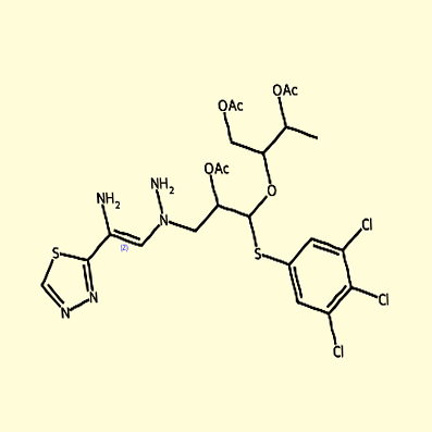 CC(=O)OCC(OC(Sc1cc(Cl)c(Cl)c(Cl)c1)C(CN(N)/C=C(\N)c1nncs1)OC(C)=O)C(C)OC(C)=O